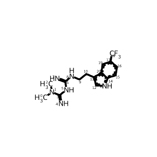 CN(C)C(=N)NC(=N)NCCc1c[nH]c2ccc(C(F)(F)F)cc12